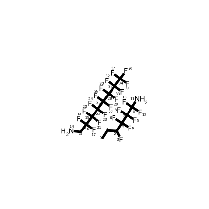 CCC(F)C(F)(F)C(F)(F)C(N)(F)F.NCC(F)(F)C(F)(F)C(F)(F)C(F)(F)C(F)(F)C(F)(F)C(F)(F)F